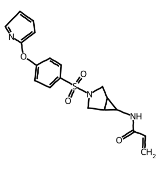 C=CC(=O)NC1C2CN(S(=O)(=O)c3ccc(Oc4ccccn4)cc3)CC21